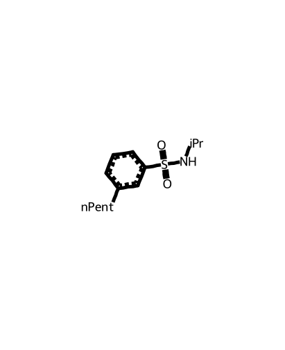 [CH2]CCCCc1cccc(S(=O)(=O)NC(C)C)c1